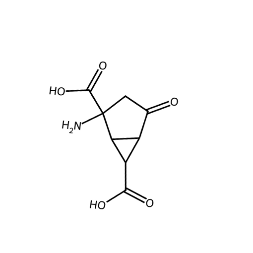 NC1(C(=O)O)CC(=O)C2C(C(=O)O)C21